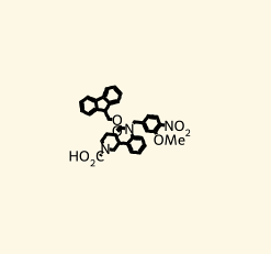 COc1cc(CN(C(=O)OCC2c3ccccc3-c3ccccc32)c2ccccc2C2CCCN(C(=O)O)C2)ccc1[N+](=O)[O-]